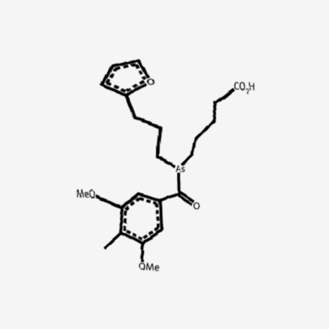 COc1cc(C(=O)[As](CCCCC(=O)O)CCCc2ccco2)cc(OC)c1C